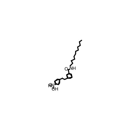 CCCCCCCCCCCCNC(=O)c1cccc(C[CH]c2ccc([NH+]([O-])O)cc2)c1